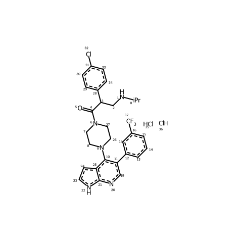 CC(C)NCC(C(=O)N1CCN(c2c(-c3cccc(C(F)(F)F)c3)cnc3[nH]ccc23)CC1)c1ccc(Cl)cc1.Cl.Cl